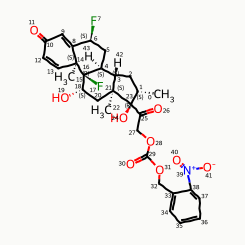 C[C@H]1C[C@H]2[C@@H]3C[C@H](F)C4=CC(=O)C=C[C@]4(C)[C@@]3(F)[C@@H](O)C[C@]2(C)[C@@]1(O)C(=O)COC(=O)OCc1ccccc1[N+](=O)[O-]